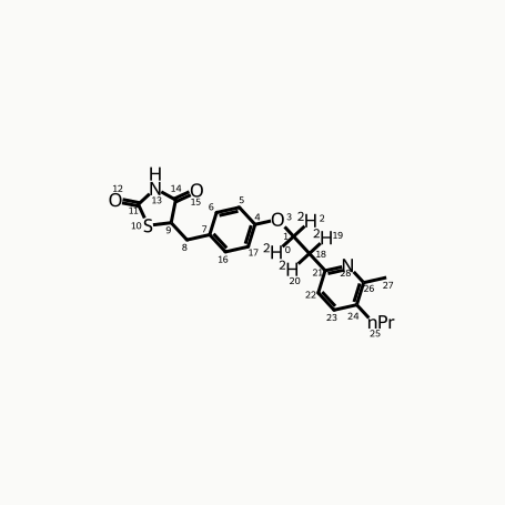 [2H]C([2H])(Oc1ccc(CC2SC(=O)NC2=O)cc1)C([2H])([2H])c1ccc(CCC)c(C)n1